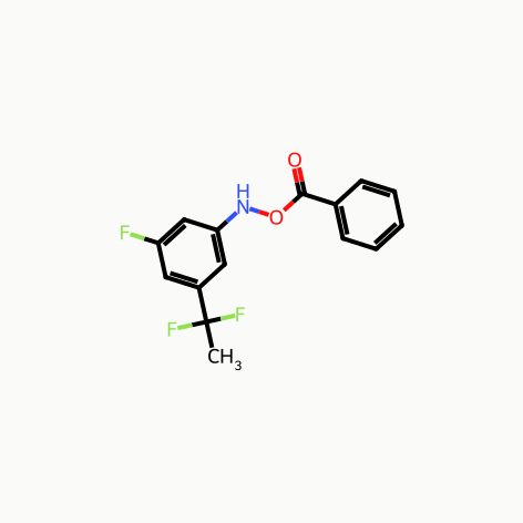 CC(F)(F)c1cc(F)cc(NOC(=O)c2ccccc2)c1